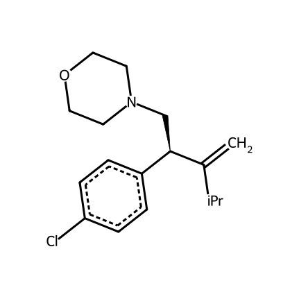 C=C(C(C)C)[C@H](CN1CCOCC1)c1ccc(Cl)cc1